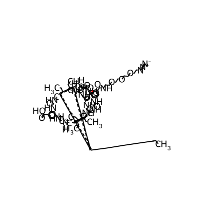 CCc1c2c(CC)c3c(CC)c1CNC(=O)Nc1ccc(C(=O)O)cc1NC(=O)NCc1c(CC)c(c(CC)c(c1CC)CNC(=O)Nc1cc(C(=O)NCCOCCOCCOCCN=[N+]=[N-])ccc1NC(=O)NC3)CNC(=O)Nc1cc(C(=O)O)ccc1NCNC2